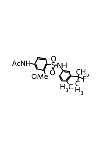 COc1cc(NC(C)=O)ccc1S(=O)(=O)Nc1ccc(C)c(C(C)(C)F)c1